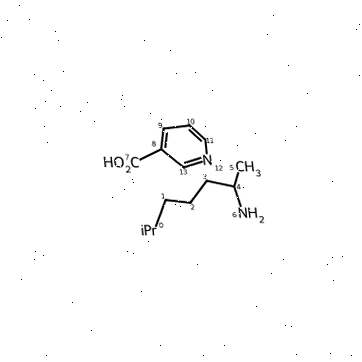 CC(C)CCCC(C)N.O=C(O)c1cccnc1